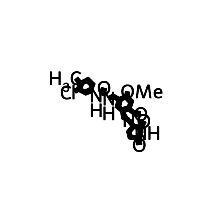 COc1cc2c(cc1CNC(=O)Nc1ccc(C)c(Cl)c1)CN(C1CCC(=O)NC1=O)C2=O